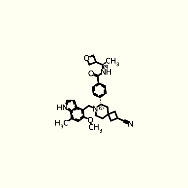 COc1cc(C)c2[nH]ccc2c1CN1CCC2(CC(C#N)C2)C[C@H]1c1ccc(C(=O)N[C@H](C)C2COC2)cc1